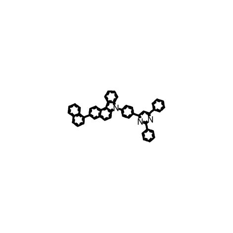 c1ccc(-c2cc(-c3ccc(-n4c5ccccc5c5c6ccc(-c7cccc8ccccc78)cc6ccc54)cc3)nc(-c3ccccc3)n2)cc1